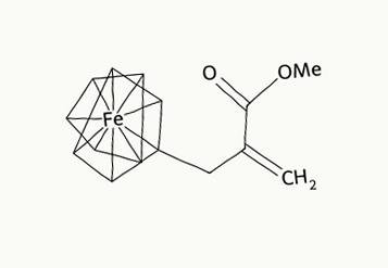 C=C(C[C]12[CH]3[CH]4[CH]5[CH]1[Fe]45321678[CH]2[CH]1[CH]6[CH]7[CH]28)C(=O)OC